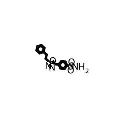 NS(=O)(=O)c1ccc(-c2nnc(CCc3ccccc3)o2)cc1